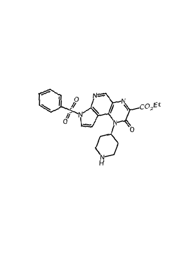 CCOC(=O)c1nc2cnc3c(ccn3S(=O)(=O)c3ccccc3)c2n(C2CCNCC2)c1=O